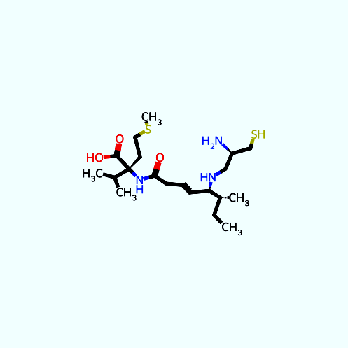 CC[C@@H](C)[C@@H](/C=C/CC(=O)N[C@@](CCSC)(C(=O)O)C(C)C)NC[C@@H](N)CS